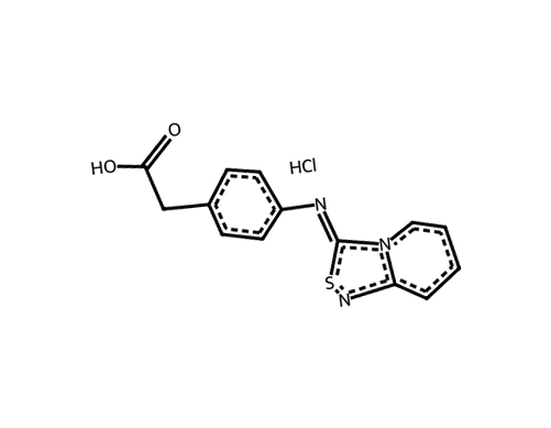 Cl.O=C(O)Cc1ccc(N=c2snc3ccccn23)cc1